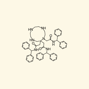 O=C(CN1CCNCCNCCNCC1(CC(=O)NC(c1ccccc1)c1ccccc1)CC(=O)NC(c1ccccc1)c1ccccc1)NC(c1ccccc1)c1ccccc1